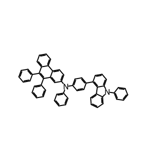 c1ccc(-c2c(-c3ccccc3)c3cc(N(c4ccccc4)c4ccc(-c5cccc6c5c5ccccc5n6-c5ccccc5)cc4)ccc3c3ccccc23)cc1